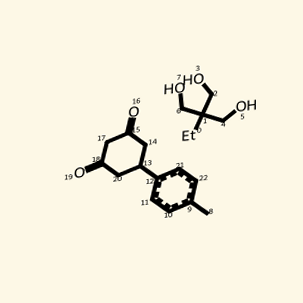 CCC(CO)(CO)CO.Cc1ccc(C2CC(=O)CC(=O)C2)cc1